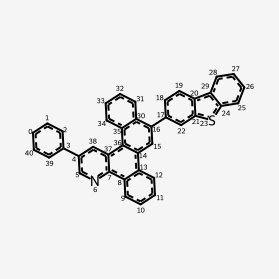 c1ccc(-c2cnc3c4ccccc4c4cc(-c5ccc6c(c5)sc5ccccc56)c5ccccc5c4c3c2)cc1